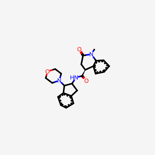 CN1C(=O)C[C@H](C(=O)NC2Cc3ccccc3C2N2CCOCC2)c2ccccc21